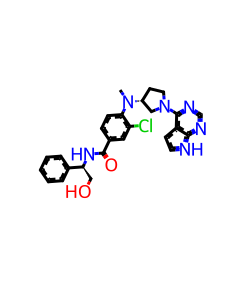 CN(c1ccc(C(=O)N[C@@H](CO)c2ccccc2)cc1Cl)[C@@H]1CCN(c2ncnc3[nH]ccc23)C1